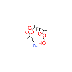 C=C(C)C(=O)OCCO.C=C(CC)C(=O)OC(=O)C(=C)CCCN(C)C